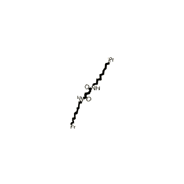 CC(C)CCCCCCCCCCNC(=O)C=CC(=O)NCCCCCCCCCCC(C)C